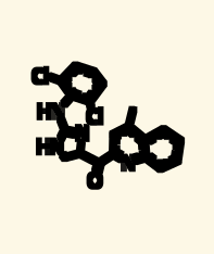 Cc1cc(C(=O)C2CNC(Nc3c(Cl)cccc3Cl)=N2)nc2ccccc12